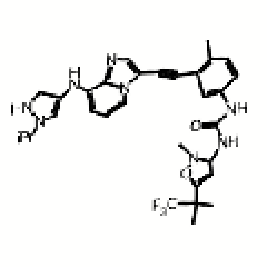 Cc1ccc(NC(=O)NC2C=C(C(C)(C)C(F)(F)F)ON2C)cc1C#Cc1cnc2c(NC3=CN(C(C)C)NC3)cccn12